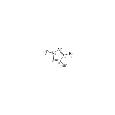 Pn1cc(Br)c(Br)n1